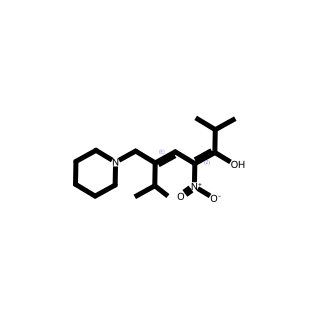 CC(C)/C(O)=C(\C=C(\CN1CCCCC1)C(C)C)[N+](=O)[O-]